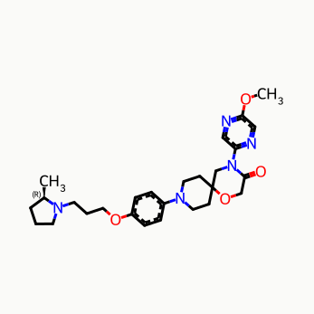 COc1cnc(N2CC3(CCN(c4ccc(OCCCN5CCC[C@H]5C)cc4)CC3)OCC2=O)cn1